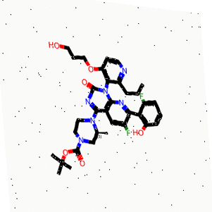 CCCc1nccc(OCCCO)c1-n1c(=O)nc(N2CCN(C(=O)OC(C)(C)C)C[C@@H]2C)c2cc(F)c(-c3c(O)cccc3F)nc21